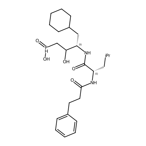 CC(C)C[C@H](NC(=O)CCc1ccccc1)C(=O)N[C@@H](CC1CCCCC1)C(O)C[PH](=O)O